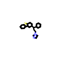 c1ccc(C(CCn2ccnc2)c2ccc3sc4ccccc4c3c2)cc1